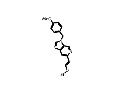 CCOC=Cc1cc2ncn(Cc3ccc(OC)cc3)c2cn1